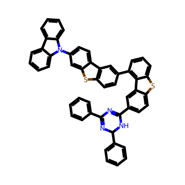 c1ccc(C2=NC(c3ccccc3)NC(c3ccc4sc5cccc(-c6ccc7sc8cc(-n9c%10ccccc%10c%10ccccc%109)ccc8c7c6)c5c4c3)=N2)cc1